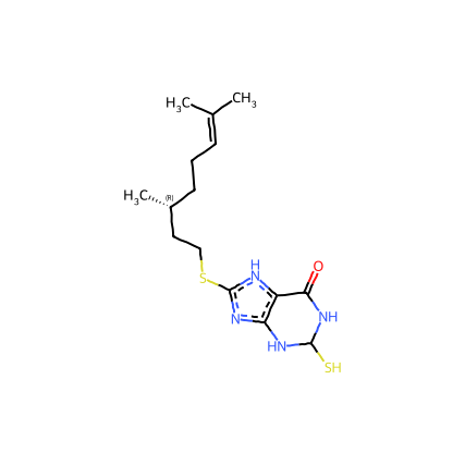 CC(C)=CCC[C@@H](C)CCSc1nc2c([nH]1)C(=O)NC(S)N2